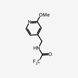 COc1cc(CNC(=O)C(F)(F)F)ccn1